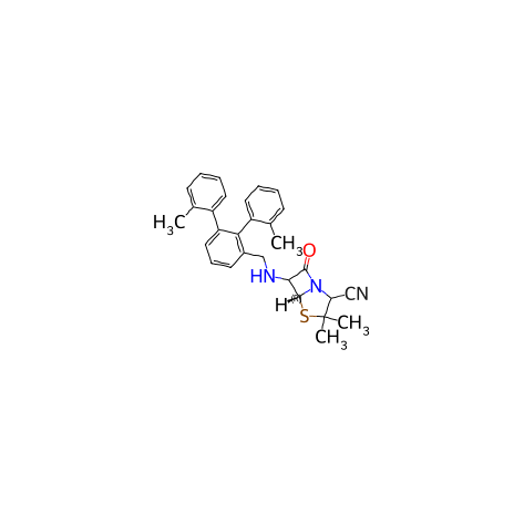 Cc1ccccc1-c1cccc(CNC2C(=O)N3C(C#N)C(C)(C)S[C@H]23)c1-c1ccccc1C